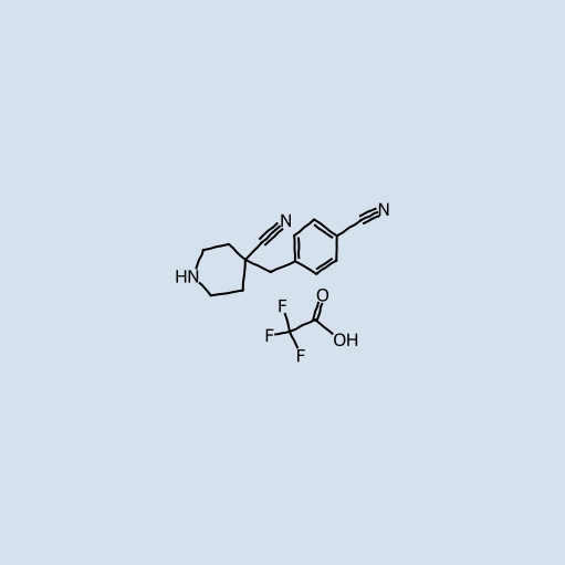 N#Cc1ccc(CC2(C#N)CCNCC2)cc1.O=C(O)C(F)(F)F